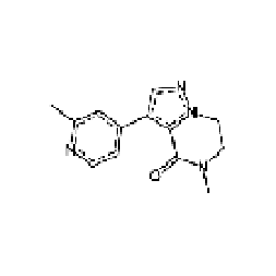 Cc1cc(-c2cnn3c2C(=O)N(C)CC3)ccn1